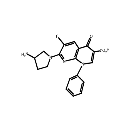 NC1CCN(c2nc3c(cc2F)c(=O)c(C(=O)O)cn3-c2ccccc2)C1